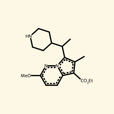 CCOC(=O)c1c(C)c(C(C)C2CCNCC2)n2nc(OC)ccc12